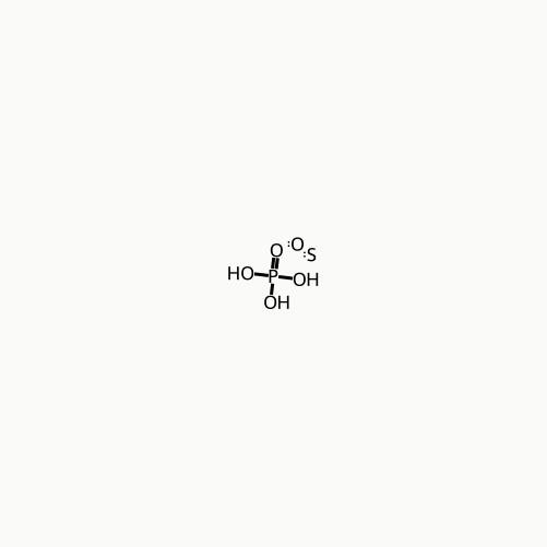 O=P(O)(O)O.[O].[S]